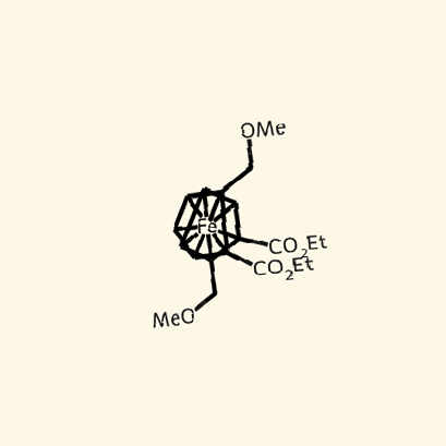 CCOC(=O)[C]12[CH]3[CH]4[CH]5[C]1(COC)[Fe]45321678[CH]2[CH]1[C]6(COC)[C]7(C(=O)OCC)[CH]28